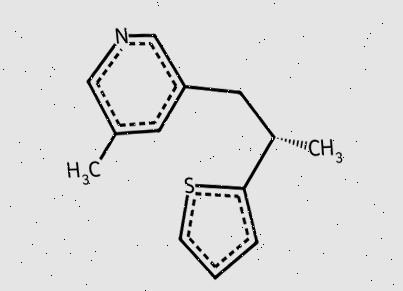 Cc1cncc(C[C@H](C)c2cccs2)c1